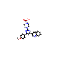 COc1ccc(-c2cc(-c3cnc4ccccc4c3)nc(N3CCN(C(=O)O)CC3)n2)cc1